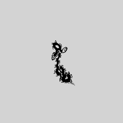 O=C1C2CC=CCC2C(=O)N1CCCCN1CCN(c2ncccn2)CC1